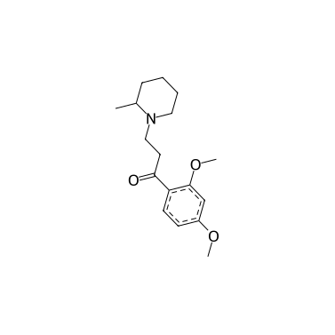 COc1ccc(C(=O)CCN2CCCCC2C)c(OC)c1